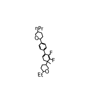 CCCC1CCC(c2ccc(C3=CCC(C)(C4CCC(CC)OC4)C(F)=C3F)cc2)OC1